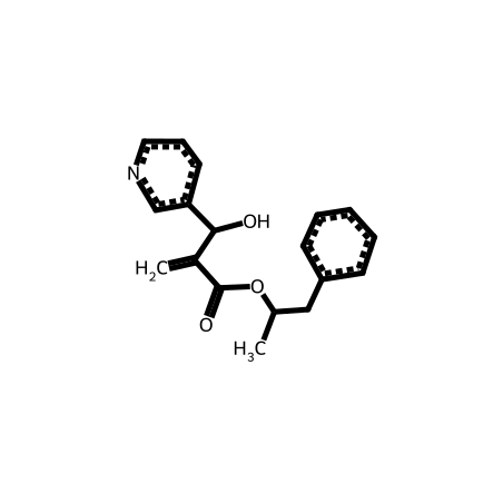 C=C(C(=O)OC(C)Cc1ccccc1)C(O)c1cccnc1